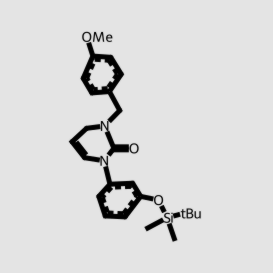 COc1ccc(CN2CC=CN(c3cccc(O[Si](C)(C)C(C)(C)C)c3)C2=O)cc1